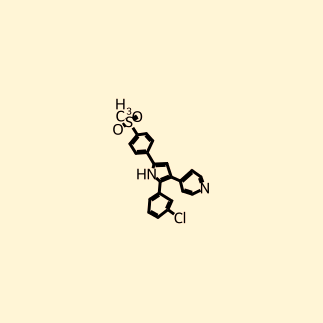 CS(=O)(=O)c1ccc(-c2cc(-c3ccncc3)c(-c3cccc(Cl)c3)[nH]2)cc1